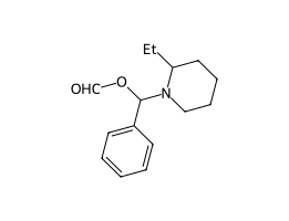 CCC1CCCCN1C(OC=O)c1ccccc1